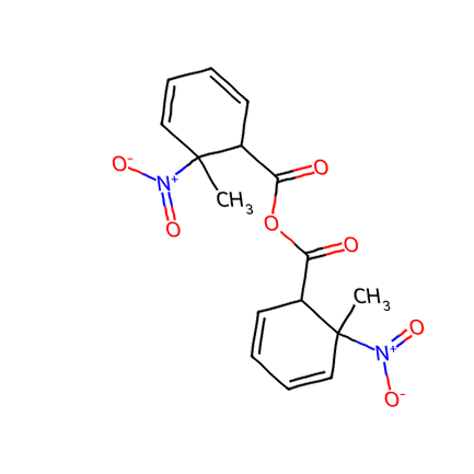 CC1([N+](=O)[O-])C=CC=CC1C(=O)OC(=O)C1C=CC=CC1(C)[N+](=O)[O-]